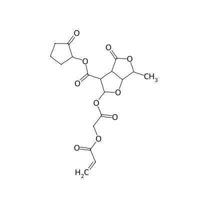 C=CC(=O)OCC(=O)OC1OC2C(C)OC(=O)C2C1C(=O)OC1CCCC1=O